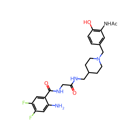 CC(=O)Nc1cc(CN2CCC(CNC(=O)CNC(=O)c3cc(F)c(F)cc3N)CC2)ccc1O